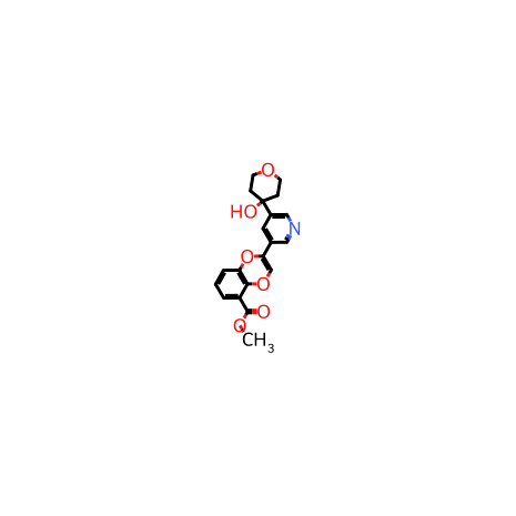 COC(=O)c1cccc2c1OC=C(c1cncc(C3(O)CCOCC3)c1)O2